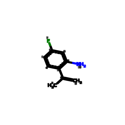 C=C(C)c1ccc(F)cc1N